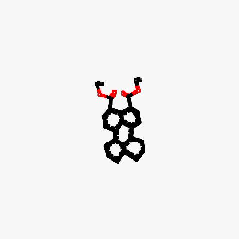 CCCCOC(=O)c1ccc2c3cccc4cccc(c5ccc(C(=O)OCCCC)c1c25)c43